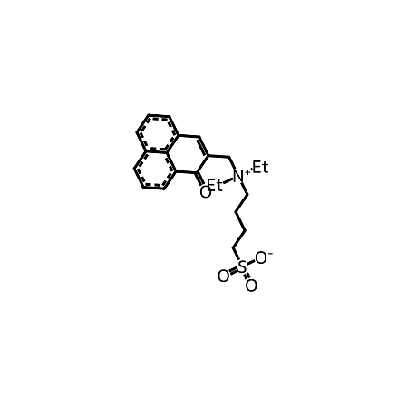 CC[N+](CC)(CCCCS(=O)(=O)[O-])CC1=Cc2cccc3cccc(c23)C1=O